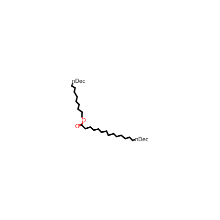 CCCCCCCCCCCCCCCCCCCCCCCC(=O)OCCCCCCCCCCCCCCCCCCC